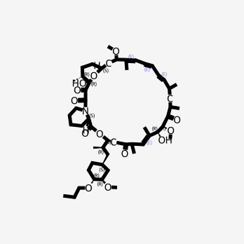 CCCO[C@@H]1CC[C@@H](C[C@@H](C)[C@@H]2CC(=O)C(C)/C=C(\C)[C@@H](O)[C@@H](OC)C(=O)C(C)CC(C)/C=C/C=C/C=C(\C)C(OC)C[C@@H]3CC[C@@H](C)[C@@](O)(O3)C(=O)C(=O)N3CCCC[C@H]3C(=O)O2)C[C@H]1OC